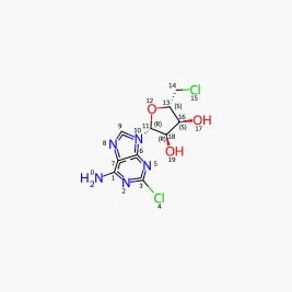 Nc1nc(Cl)nc2c1ncn2[C@@H]1O[C@H](CCl)[C@@H](O)[C@H]1O